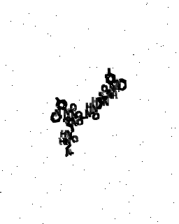 Cc1ccc(NC(=O)Nc2nc(CNC(=O)NCC(=O)ON(C(=O)Nc3ccc(C)cc3N3CCCCC3)c3nc(CNC(=O)NCCN(C)C)cs3)cs2)c(N2CCCCC2)c1